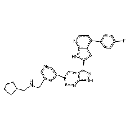 Fc1ccc(-c2ccnc3[nH]c(-c4n[nH]c5ncc(-c6cncc(CNCC7CCCC7)c6)cc45)cc23)cc1